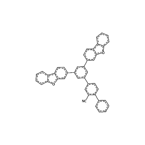 N#Cc1cc(-c2cc(-c3ccc4c(c3)oc3ccccc34)cc(-c3ccc4c(c3)oc3ccccc34)c2)ccc1-c1ccccc1